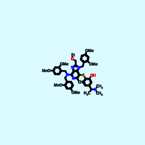 CCOCc1nc2c(N(Cc3ccc(OC)cc3OC)Cc3ccc(OC)cc3OC)nc(C)c(Sc3ccc(C(C)N(C)C)cc3O)c2n1Cc1ccc(OC)cc1OC